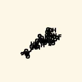 CCC(C)(CC)C1CC(=O)N(CCCCCC(=O)NCC(=O)NCC(=O)N[C@@H](Cc2ccccc2)C(=O)NCC(=O)NCOC(C(=O)N[C@H]2CCc3c(C)c(F)cc4nc5c(c2c34)Cn2c-5cc3c(c2=O)COC(=O)[C@]3(O)CC)C2CC2)C1=O